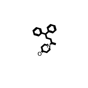 C=C(CCC(c1ccccc1)c1ccccc1)N1CCC(=O)CC1